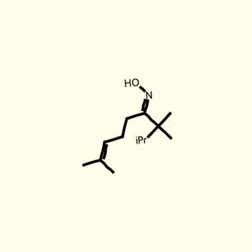 CC(C)=CCC/C(=N\O)C(C)(C)C(C)C